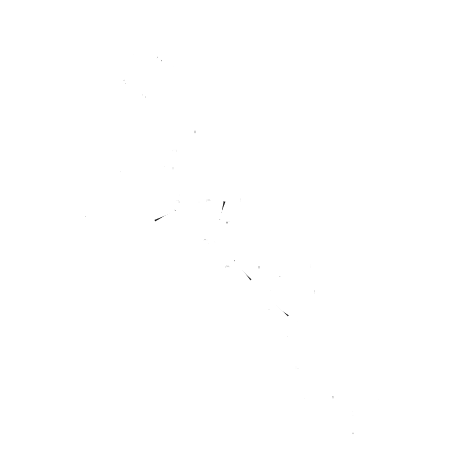 CC(C)C1=C2[C@H]3CC[C@@H]4[C@@]5(C)CC[C@H](OC(=O)[C@H]6C[C@@H](C(=O)O)C6(C)C)C(C)(C)[C@@H]5CC[C@@]4(C)[C@]3(C)CC[C@@]2([C@@H](O)CNC(=O)C2(N)COC2)CC1=O